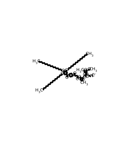 [C-]#[N+]CCOP(=O)(OC[C@H]1O[C@@H](C)CC1OC(=O)CCC(=O)N1CCN(C(=O)c2cc(OCCCCCCCCCCCCCCCCCC)c(OCCCCCCCCCCCCCCCCCC)c(OCCCCCCCCCCCCCCCCCC)c2)CC1)OC1C[C@H](C)O[C@@H]1COC